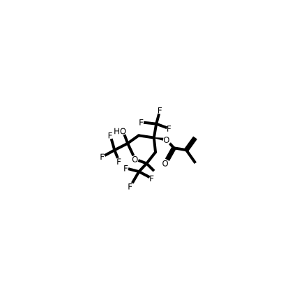 C=C(C)C(=O)O[C@@]1(C(F)(F)F)CC(C)(C(F)(F)F)OC(O)(C(F)(F)F)C1